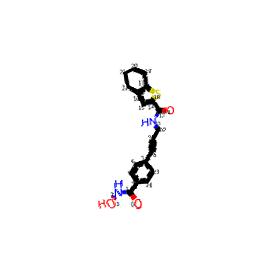 O=C(NO)c1ccc(C#CCNC(=O)c2cc3c(s2)C=CCC3)cc1